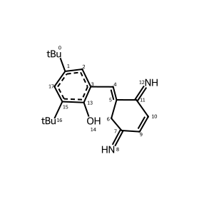 CC(C)(C)c1cc(C=C2CC(=N)C=CC2=N)c(O)c(C(C)(C)C)c1